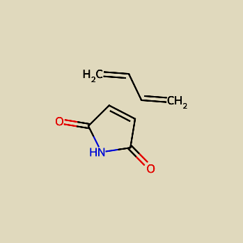 C=CC=C.O=C1C=CC(=O)N1